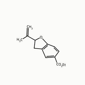 C=C(C)C1Cc2cc(C(=O)OCC)ccc2O1